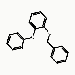 c1ccc(COc2ccccc2Oc2ccccn2)cc1